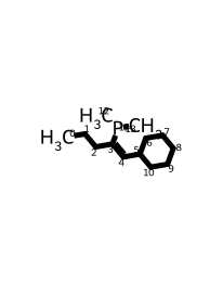 CCCC(=CC1CCCCC1)P(C)C